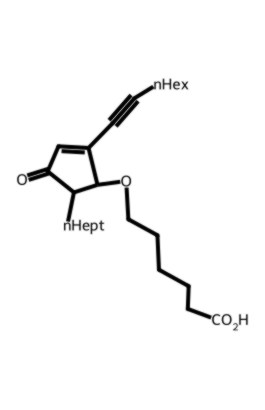 CCCCCCC#CC1=CC(=O)C(CCCCCCC)C1OCCCCCC(=O)O